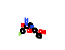 O=c1[nH]c2ccn(-c3ccc(-c4ccccc4O)cc3)c2c(O)c1-c1ccc(F)cc1